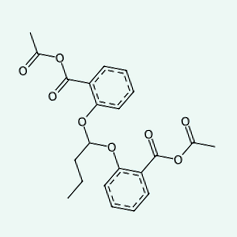 CCCC(Oc1ccccc1C(=O)OC(C)=O)Oc1ccccc1C(=O)OC(C)=O